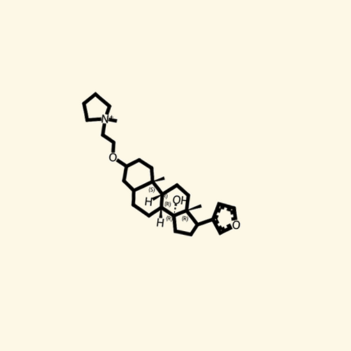 C[C@]12CCC(OCC[N+]3(C)CCCC3)CC1CC[C@@H]1[C@H]2CC[C@]2(C)C(c3ccoc3)CC[C@@]12O